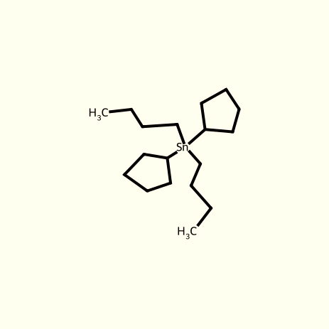 CCC[CH2][Sn]([CH2]CCC)([CH]1CCCC1)[CH]1CCCC1